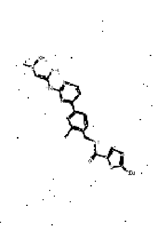 Cc1cc(-c2ccnc(N/C(N)=C/N(C)N)n2)ccc1CNC(=O)c1cnc(C(C)(C)C)s1